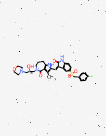 Cc1c(C=C2C(=O)Nc3ccc(S(=O)(=O)Cc4ccc(F)cc4)cc32)[nH]c2c1C(=O)N(C[C@H](O)CN1CCOCC1)CCC2